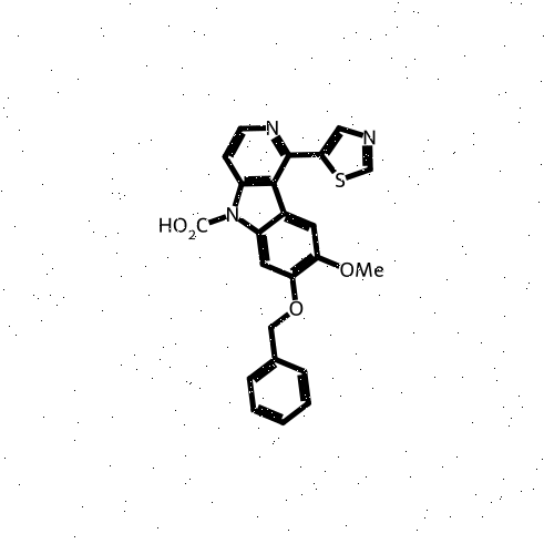 COc1cc2c3c(-c4cncs4)nccc3n(C(=O)O)c2cc1OCc1ccccc1